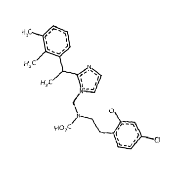 Cc1cccc(C(C)c2nccn2CN(CCc2ccc(Cl)cc2Cl)C(=O)O)c1C